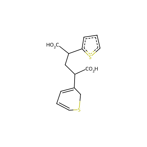 O=C(O)C(CC(C(=O)O)c1cccs1)C1=CC=CSC1